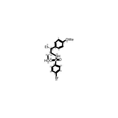 CC[C@H](c1ccc(OC)cc1)[C@@H](CO)NS(=O)(=O)c1ccc(Br)cc1